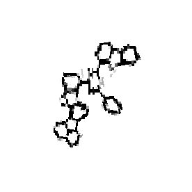 c1ccc(C2=NC(c3cccc4c3sc3ccccc34)NC(c3cccc4oc5c6c(ccc5c34)-c3cccc4cccc-6c34)=N2)cc1